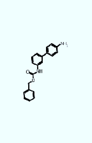 Nc1ccc(-c2cccc(NC(=O)OCc3ccccc3)c2)cc1